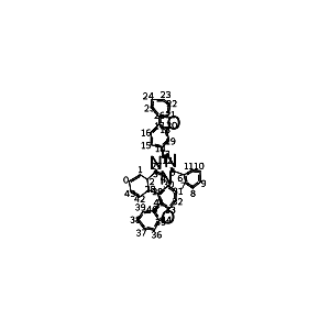 C1=CC(c2nc(-c3ccccc3)nc(-c3ccc4c(c3)oc3ccccc34)n2)C(c2cccc3oc4ccccc4c23)C=C1